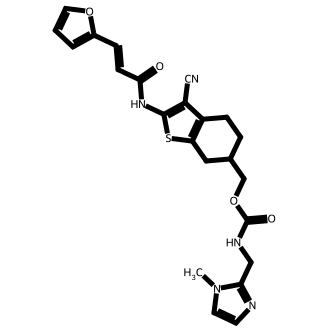 Cn1ccnc1CNC(=O)OCC1CCc2c(sc(NC(=O)C=Cc3ccco3)c2C#N)C1